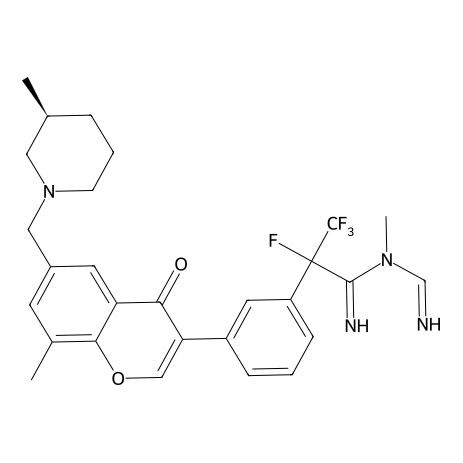 Cc1cc(CN2CCC[C@H](C)C2)cc2c(=O)c(-c3cccc(C(F)(C(=N)N(C)C=N)C(F)(F)F)c3)coc12